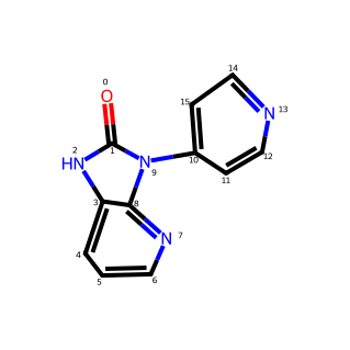 O=c1[nH]c2cccnc2n1-c1ccncc1